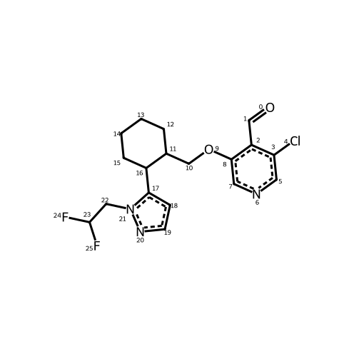 O=Cc1c(Cl)cncc1OCC1CCCCC1c1ccnn1CC(F)F